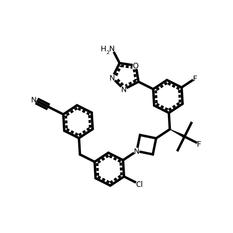 CC(C)(F)[C@H](c1cc(F)cc(-c2nnc(N)o2)c1)C1CN(c2cc(Cc3cccc(C#N)c3)ccc2Cl)C1